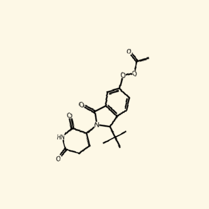 CC(=O)OOc1ccc2c(c1)C(=O)N(C1CCC(=O)NC1=O)C2C(C)(C)C